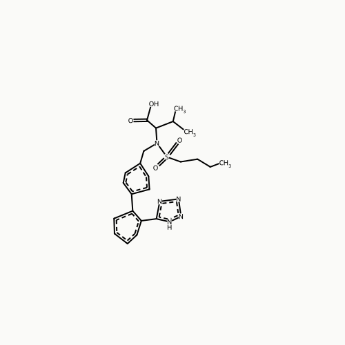 CCCCS(=O)(=O)N(Cc1ccc(-c2ccccc2-c2nnn[nH]2)cc1)C(C(=O)O)C(C)C